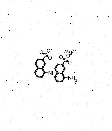 Nc1cccc2ccc(S(=O)(=O)[O-])cc12.Nc1cccc2ccc(S(=O)(=O)[O-])cc12.[Mg+2]